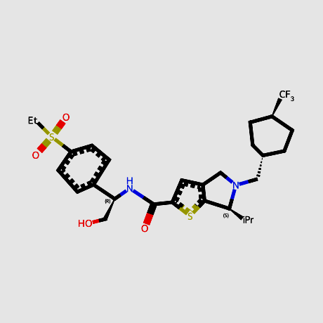 CCS(=O)(=O)c1ccc([C@H](CO)NC(=O)c2cc3c(s2)[C@H](C(C)C)N(C[C@H]2CC[C@H](C(F)(F)F)CC2)C3)cc1